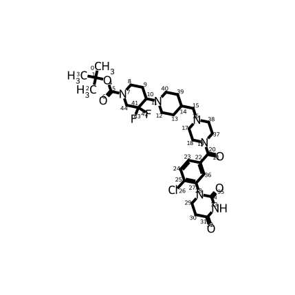 CC(C)(C)OC(=O)N1CCC(N2CCC(CN3CCN(C(=O)c4ccc(Cl)c(N5CCC(=O)NC5=O)c4)CC3)CC2)C(F)(F)C1